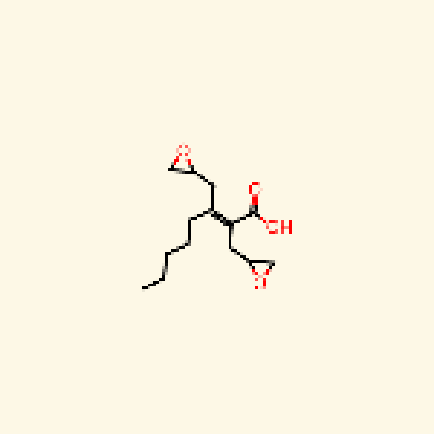 CCCCC/C(CC1CO1)=C(\CC1CO1)C(=O)O